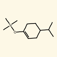 CC(C)C1CC=C(O[Si](C)(C)C)CC1